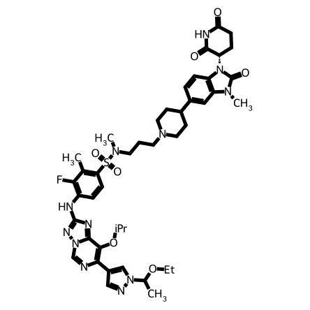 CCOC(C)n1cc(-c2ncn3nc(Nc4ccc(S(=O)(=O)N(C)CCCN5CCC(c6ccc7c(c6)n(C)c(=O)n7[C@H]6CCC(=O)NC6=O)CC5)c(C)c4F)nc3c2OC(C)C)cn1